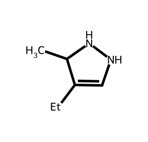 CCC1=CNNC1C